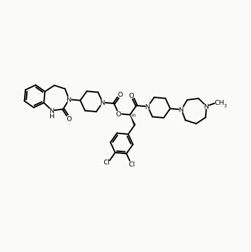 CN1CCCN(C2CCN(C(=O)[C@@H](Cc3ccc(Cl)c(Cl)c3)OC(=O)N3CCC(N4CCc5ccccc5NC4=O)CC3)CC2)CC1